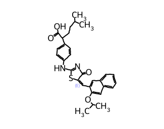 CC(C)CCC(C(=O)O)c1ccc(NC2=NC(=O)/C(=C\c3cc4ccccc4cc3OC(C)C)S2)cc1